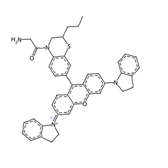 CCCC1CN(C(=O)CN)c2ccc(-c3c4cc/c(=[N+]5/CCc6ccccc65)cc-4oc4cc(N5CCc6ccccc65)ccc34)cc2S1